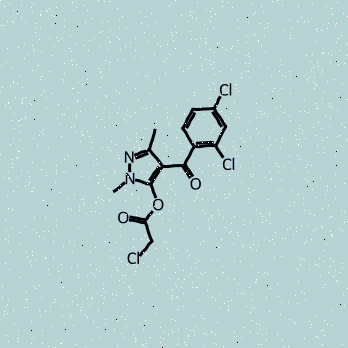 Cc1nn(C)c(OC(=O)CCl)c1C(=O)c1ccc(Cl)cc1Cl